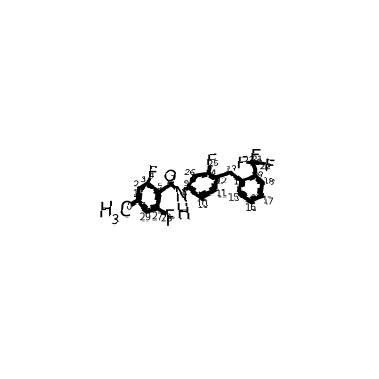 Cc1cc(F)c(C(=O)Nc2ccc(Cc3ccccc3C(F)(F)F)c(F)c2)c(F)c1